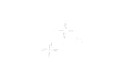 O=S([O-])([O-])=S.[K+].[Na+].[O]=[Mn](=[O])(=[O])[OH]